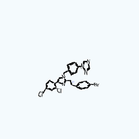 Clc1ccc(-c2cn(Cc3ccc(-n4cncn4)cc3)c(/C=C/c3ccc(Br)cc3)n2)c(Cl)c1